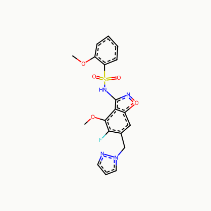 COc1ccccc1S(=O)(=O)Nc1noc2cc(Cn3cccn3)c(F)c(OC)c12